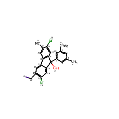 CCCCCCc1cc(C)cc(C2(O)c3cc(Br)c(C#N)cc3-c3cc(CI)c(Br)cc32)c1